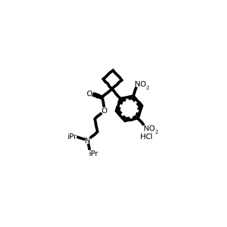 CC(C)N(CCOC(=O)C1(c2ccc([N+](=O)[O-])cc2[N+](=O)[O-])CCC1)C(C)C.Cl